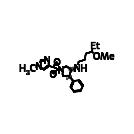 CCC(CCCN[C@H]1CN(S(=O)(=O)c2cn(C)cn2)C[C@@H]1c1ccccc1)OC